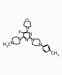 Cc1ccc(N2CCN(c3nc(N4CCOCC4)c(F)c(N4CCN(C)CC4)n3)CC2)cc1